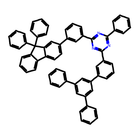 c1ccc(-c2cc(-c3ccccc3)cc(-c3cccc(-c4nc(-c5ccccc5)nc(-c5cccc(-c6ccc7c(c6)C(c6ccccc6)(c6ccccc6)c6ccccc6-7)c5)n4)c3)c2)cc1